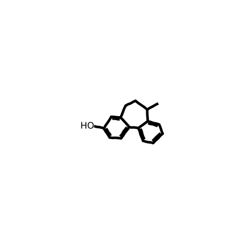 CC1CCc2cc(O)ccc2-c2ccccc21